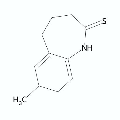 CC1C=C2CCCC(=S)NC2=CC1